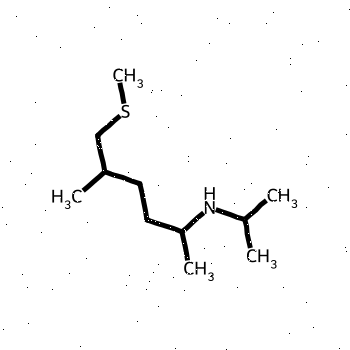 CSCC(C)CCC(C)NC(C)C